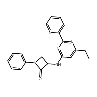 CCc1cc(NC2CN(c3ccccc3)C2=O)nc(-c2ccccn2)n1